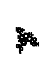 CCOC(=O)c1ccc([C@]23CC(=CO)C(=O)[C@@H](C)[C@@H]2CCc2c(-c4cncn4C)nc(C)nc23)cc1